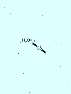 O.[I][Co][I]